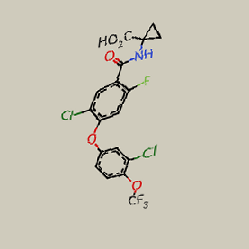 O=C(NC1(C(=O)O)CC1)c1cc(Cl)c(Oc2ccc(OC(F)(F)F)c(Cl)c2)cc1F